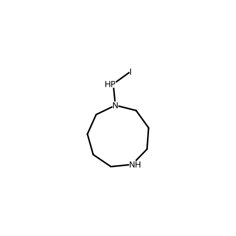 IPN1CCCCNCCC1